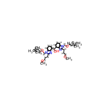 COCCCc1nc2c(C(O)c3cccc4c3nc(CCCOC)n4COCC[Si](C)(C)C)cccc2n1COCC[Si](C)(C)C